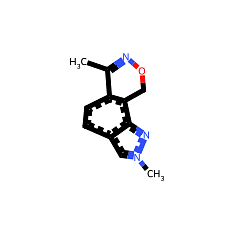 CC1=NOCc2c1ccc1cn(C)nc21